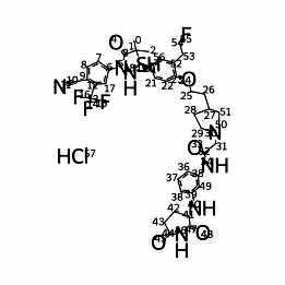 CC1(C)C(=O)N(c2ccc(C#N)c(C(F)(F)F)c2)N[SH]1c1ccc(OCCC2CCN(CC(=O)Nc3cccc(NC4CCC(=O)NC4=O)c3)CC2)c(CCF)c1.Cl